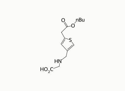 CCCCOC(=O)Cc1cc(CNCC(=O)O)cs1